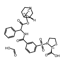 O=C(NC(C(=O)O[C@H]1CN2CCC1CC2)c1ccccc1)c1cccc(S(=O)(=O)N2CCS[C@H]2C(=O)O)c1.O=CO